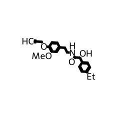 C#CCOc1ccc(CCNC(=O)C(O)c2ccc(CC)cc2)cc1OC